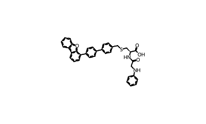 O=C(CNc1ccccc1)N[C@@H](CSCc1ccc(-c2ccc(-c3cccc4c3oc3ccccc34)cc2)cc1)C(=O)O